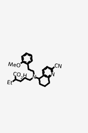 CCC(CCCN(CCc1ccccc1OC)C1CCCc2nc(C#N)ccc21)C(=O)O